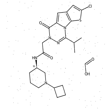 CC(C)c1nn(CC(=O)N[C@@H]2CCCN(C3CCC3)C2)c(=O)c2cc3cc(Cl)sc3n12.O=CO